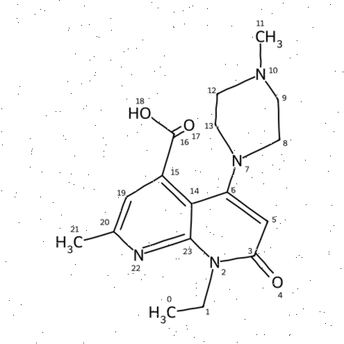 CCn1c(=O)cc(N2CCN(C)CC2)c2c(C(=O)O)cc(C)nc21